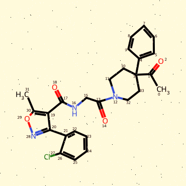 CC(=O)C1(c2ccccc2)CCN(C(=O)CNC(=O)c2c(-c3ccccc3Cl)noc2C)CC1